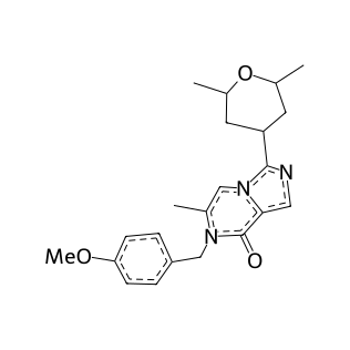 COc1ccc(Cn2c(C)cn3c(C4CC(C)OC(C)C4)ncc3c2=O)cc1